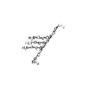 NCCOCCOCCOCC(COCC(COCC(COCCOCCOCCN)OCCOCCOCCN)OCCOCCOCCN)OCCOCCOCCN